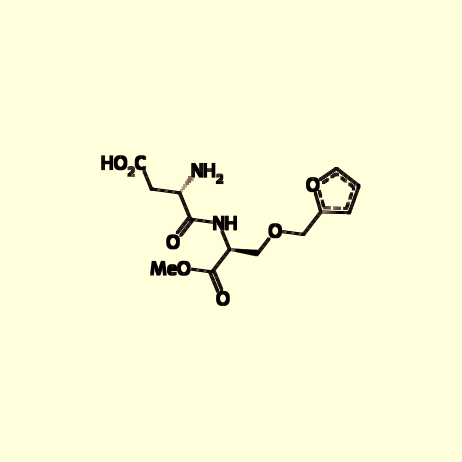 COC(=O)[C@H](COCc1ccco1)NC(=O)[C@@H](N)CC(=O)O